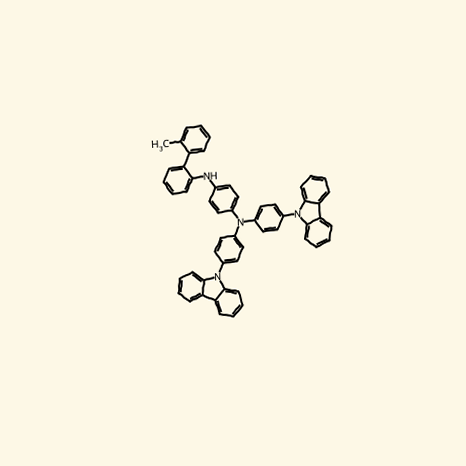 Cc1ccccc1-c1ccccc1Nc1ccc(N(c2ccc(-n3c4ccccc4c4ccccc43)cc2)c2ccc(-n3c4ccccc4c4ccccc43)cc2)cc1